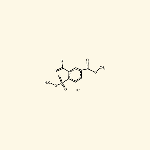 COC(=O)c1ccc(S(=O)(=O)OC)c(C(=O)[O-])c1.[K+]